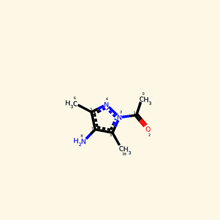 CC(=O)n1nc(C)c(N)c1C